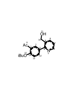 CC(=O)c1cc(-c2ncccc2CO)ccc1OCC(C)C